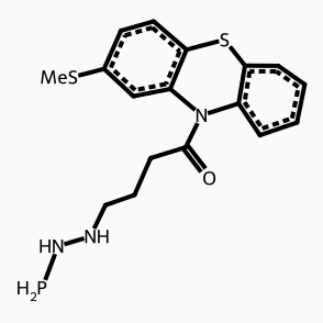 CSc1ccc2c(c1)N(C(=O)CCCNNP)c1ccccc1S2